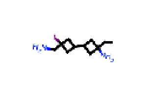 CCC1(N)CC(C2CC(I)(CN)C2)C1